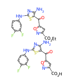 CCOC(=O)c1cc(C(=O)c2sc(Nc3ccc(F)c(F)c3)nc2N)on1.Nc1nc(Nc2ccc(F)c(F)c2)sc1C(=O)c1cc(C(=O)O)no1